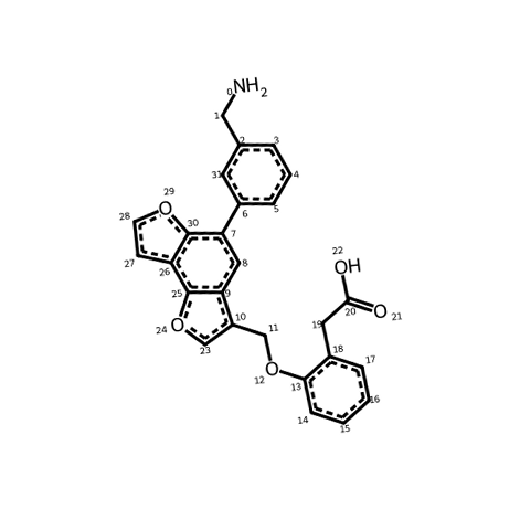 NCc1cccc(-c2cc3c(COc4ccccc4CC(=O)O)coc3c3ccoc23)c1